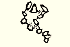 c1ccc(-c2ccc(-c3cccc(-c4cccc(-n5c6ccc(-c7ccc8sc9ccccc9c8c7)cc6c6cc(-c7ccc8c9ccccc9n(-c9ccccc9)c8c7)ccc65)n4)c3)cc2)cc1